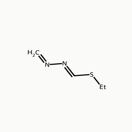 C=N/N=C/SCC